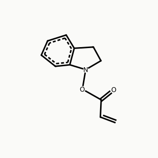 C=CC(=O)ON1CCc2ccccc21